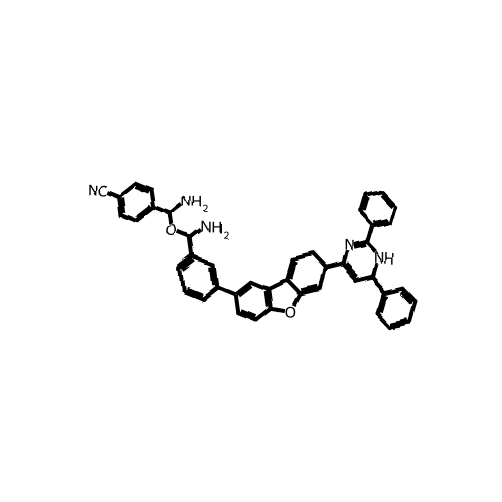 N#Cc1ccc(C(N)OC(N)c2cccc(-c3ccc4oc5c(c4c3)=CCC(C3=CC(c4ccccc4)NC(c4ccccc4)=N3)C=5)c2)cc1